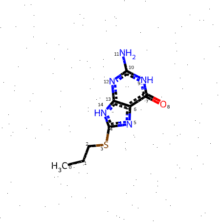 CCCSc1nc2c(=O)[nH]c(N)nc2[nH]1